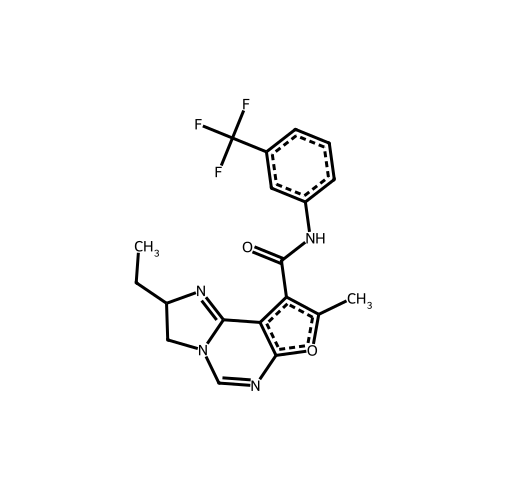 CCC1CN2C=Nc3oc(C)c(C(=O)Nc4cccc(C(F)(F)F)c4)c3C2=N1